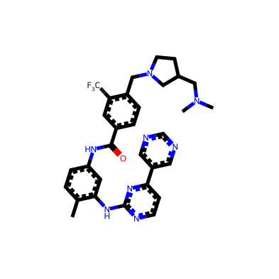 Cc1ccc(NC(=O)c2ccc(CN3CCC(CN(C)C)C3)c(C(F)(F)F)c2)cc1Nc1nccc(-c2cncnc2)n1